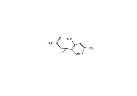 CC(=O)[C@@H]1CC1c1ccc(P)cc1P